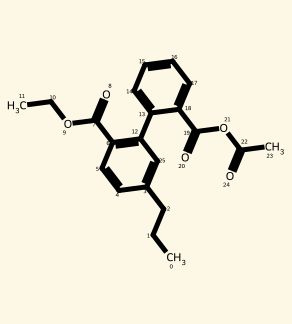 CCCc1ccc(C(=O)OCC)c(-c2ccccc2C(=O)OC(C)=O)c1